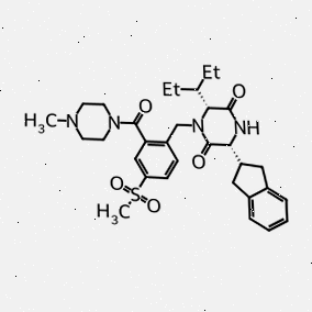 CCC(CC)[C@@H]1C(=O)N[C@H](C2Cc3ccccc3C2)C(=O)N1Cc1ccc(S(C)(=O)=O)cc1C(=O)N1CCN(C)CC1